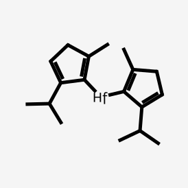 CC1=[C]([Hf][C]2=C(C)CC=C2C(C)C)C(C(C)C)=CC1